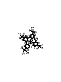 CC(C)(C)c1ccc2c(c1)Oc1cc(C(C)(C)C)cc3c1B2n1c2ccc(C(C)(C)C)cc2c2cc(C(C)(C)C)cc-3c21